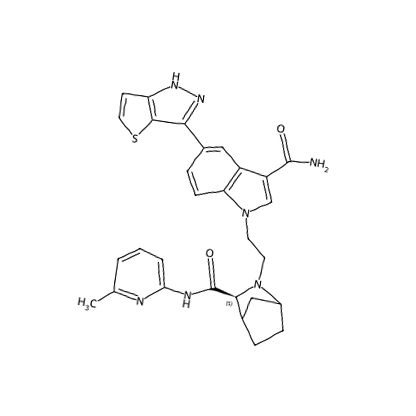 Cc1cccc(NC(=O)[C@@H]2C3CCC(C3)N2CCn2cc(C(N)=O)c3cc(-c4n[nH]c5ccsc45)ccc32)n1